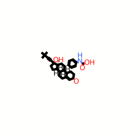 CC(C)(C)C#C[C@]1(O)CC[C@H]2[C@@H]3CCC4=CC(=O)CC[C@@H]4[C@H]3[C@@H](c3ccc(NC(=O)O)cc3)C[C@@]21C